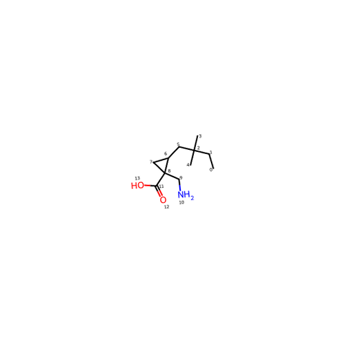 CCC(C)(C)CC1CC1(CN)C(=O)O